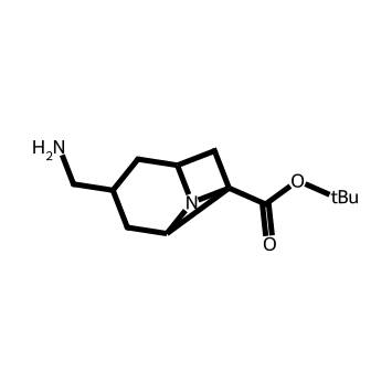 CC(C)(C)OC(=O)C12CC3CC(CN)CC1N32